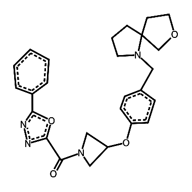 O=C(c1nnc(-c2ccccc2)o1)N1CC(Oc2ccc(CN3CCCC34CCOC4)cc2)C1